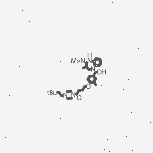 CNC1=C(C)CN(C(O)c2ccc(OCCCC(=O)N3CCN(CCC(C)(C)C)CC3)c(C)c2)c2ccccc2N1